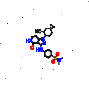 CN(C)S(=O)(=O)c1ccc(Nc2nn(C3CCC4(CC4)CC3C#N)c3cc[nH]c(=O)c23)cc1